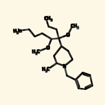 CCCC(OC)(C1CCN(Cc2ccccc2)C(C)C1)C(CC[CH2][InH2])OC